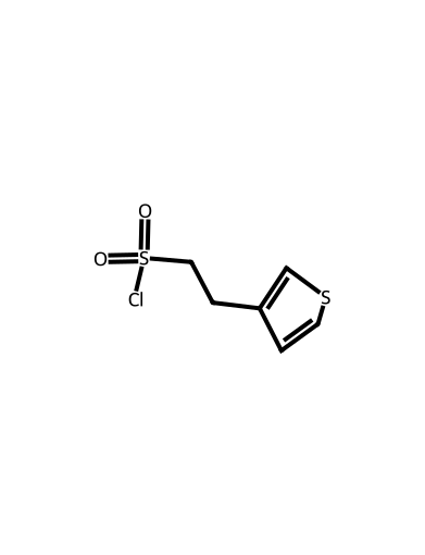 O=S(=O)(Cl)CCc1ccsc1